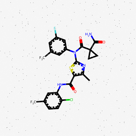 Cc1nc(N(C(=O)C2(C(N)=O)CC2)c2cc(F)cc(C(F)(F)F)c2)sc1C(=O)Nc1cc(C(F)(F)F)ccc1Cl